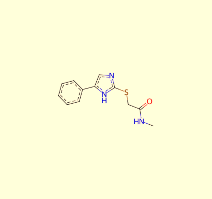 CNC(=O)CSc1ncc(-c2ccccc2)[nH]1